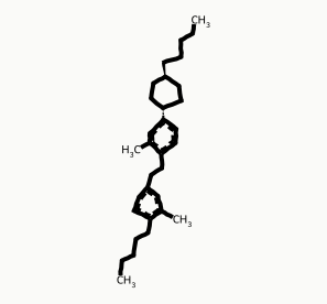 CCCCCc1ccc(CCc2ccc([C@H]3CC[C@H](CCCCC)CC3)cc2C)cc1C